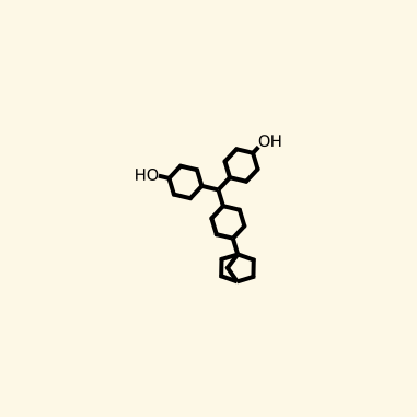 OC1CCC(C(C2CCC(O)CC2)C2CCC(C34CCC(CC3)C4)CC2)CC1